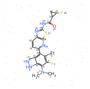 CCc1c(F)c(N(C)C)c2[nH]ncc2c1-c1ccc2nc(NC(=O)C3CC3F)sc2n1